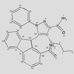 CCCCc1c(C(N)=O)nn(-c2ccccc2)c1C1c2ccccc2-c2cccc(C(N)=O)c21